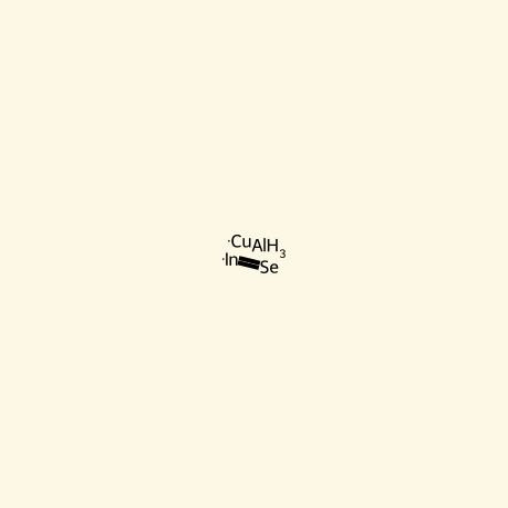 [AlH3].[Cu].[Se]=[In]